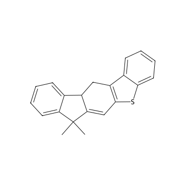 CC1(C)C2=Cc3sc4ccccc4c3CC2c2ccccc21